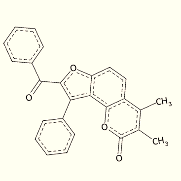 Cc1c(C)c2ccc3oc(C(=O)c4ccccc4)c(-c4ccccc4)c3c2oc1=O